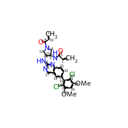 C=CC(=O)N[C@H]1CN(C(=O)C=C)C[C@H]1Nc1ncc2cc(-c3c(Cl)c(OC)cc(OC)c3Cl)ccc2n1